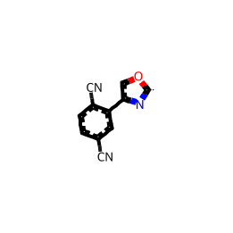 N#Cc1ccc(C#N)c(-c2co[c]n2)c1